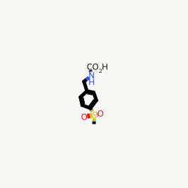 CS(=O)(=O)c1ccc(CNC(=O)O)cc1